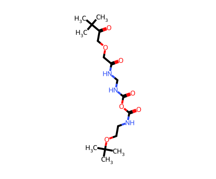 CC(C)(C)OCCNC(=O)OC(=O)NCNC(=O)COCC(=O)C(C)(C)C